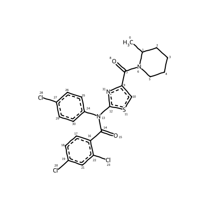 CC1CCCCN1C(=O)c1csc(N(C(=O)c2ccc(Cl)cc2Cl)c2ccc(Cl)cc2)n1